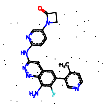 Cc1ccncc1-c1cc2cc(Nc3ccc(N4CCC4=O)cn3)nnc2c(N)c1F